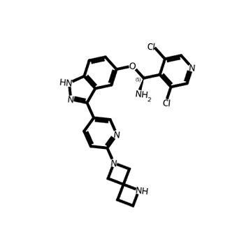 N[C@@H](Oc1ccc2[nH]nc(-c3ccc(N4CC5(CCN5)C4)nc3)c2c1)c1c(Cl)cncc1Cl